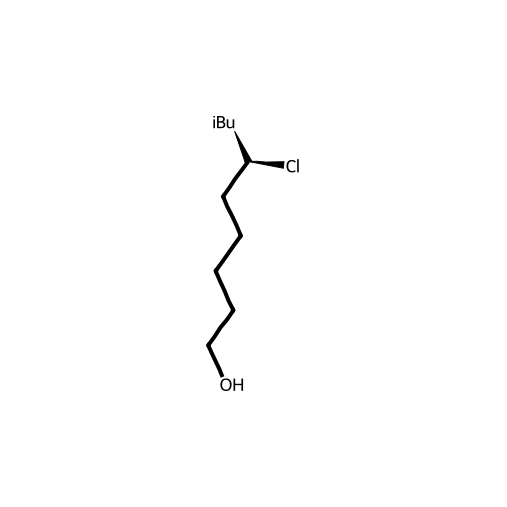 CC[C@H](C)[C@@H](Cl)CCCCCO